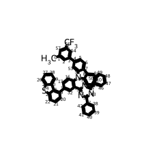 Cc1cc(-c2ccc3c4ccccc4n(-c4ccc(-c5cccc6sc7ccccc7c56)cc4-c4nc(-c5ccccc5)nc(-c5ccccc5)n4)c3c2)cc(C(F)(F)F)c1